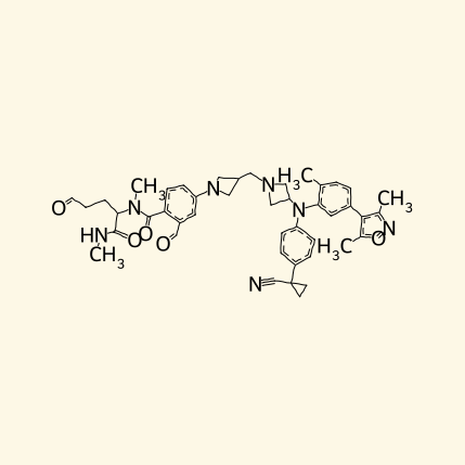 CNC(=O)C(CCC=O)N(C)C(=O)c1ccc(N2CC(CN3CC(N(c4ccc(C5(C#N)CC5)cc4)c4cc(-c5c(C)noc5C)ccc4C)C3)C2)cc1C=O